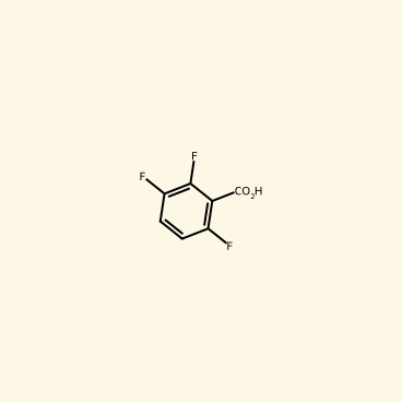 O=C(O)c1c(F)ccc(F)c1F